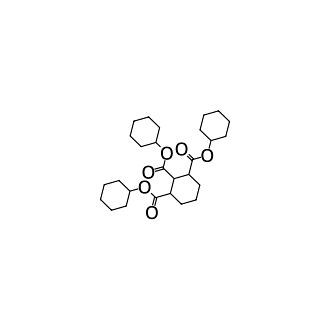 O=C(OC1CCCCC1)C1CCCC(C(=O)OC2CCCCC2)C1C(=O)OC1CCCCC1